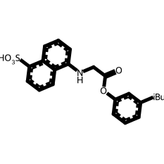 CCC(C)c1cccc(OC(=O)CNc2cccc3c(S(=O)(=O)O)cccc23)c1